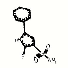 NS(=O)(=O)c1cc(-c2ccccc2)[nH]c1F